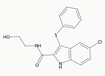 O=C(NCCO)c1[nH]c2ccc(Cl)cc2c1Sc1ccccc1